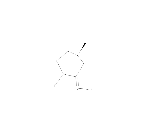 CC(C)C1CC[C@@H](C)C/C1=N\O